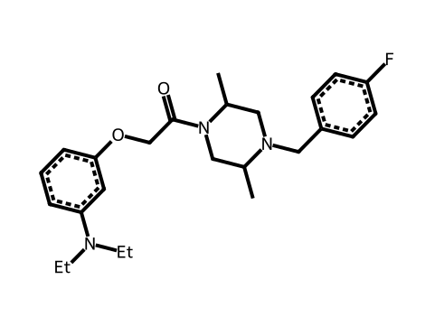 CCN(CC)c1cccc(OCC(=O)N2CC(C)N(Cc3ccc(F)cc3)CC2C)c1